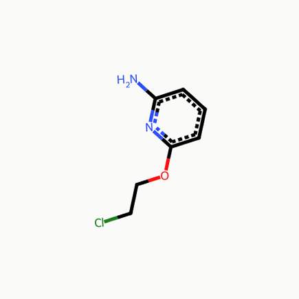 Nc1cccc(OCCCl)n1